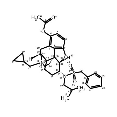 CC(=O)Oc1ccc2c3c1C[C@@H]1[C@@H]4CC[C@@H](N(CC(C)C)S(=O)(=O)Cc5ccccc5)[C@H](O2)[C@]34CCN1CC1CC1